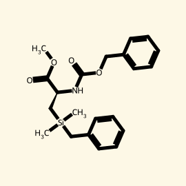 COC(=O)[C@H](C[Si](C)(C)Cc1ccccc1)NC(=O)OCc1ccccc1